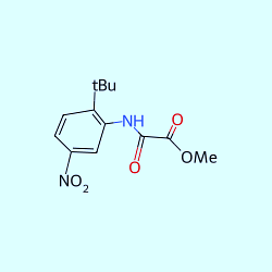 COC(=O)C(=O)Nc1cc([N+](=O)[O-])ccc1C(C)(C)C